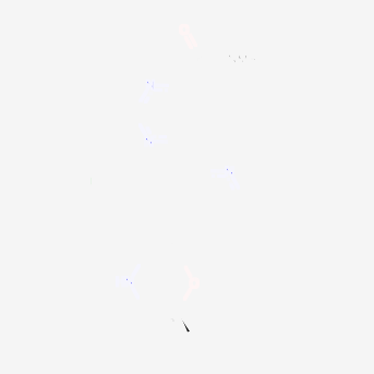 CNC(=O)c1cc(-c2cc([C@H]3CNC[C@H](C)O3)cc(Cl)n2)ncn1.Cl